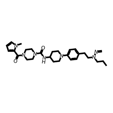 C=NN(CCC)CCc1ccc(N2CCC(NC(=O)N3CCN(C(=O)c4cccn4C)CC3)CC2)cc1